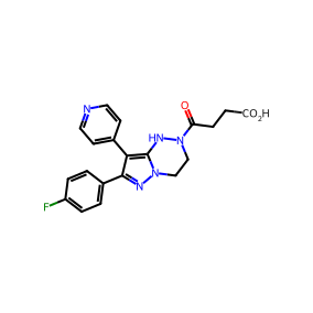 O=C(O)CCC(=O)N1CCn2nc(-c3ccc(F)cc3)c(-c3ccncc3)c2N1